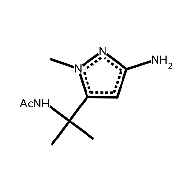 CC(=O)NC(C)(C)c1cc(N)nn1C